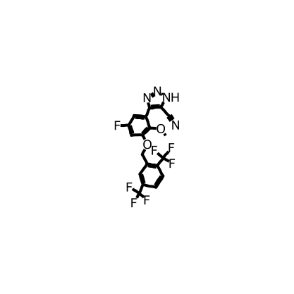 COc1c(OCc2cc(C(F)(F)F)ccc2C(F)(F)F)cc(F)cc1-c1nn[nH]c1C#N